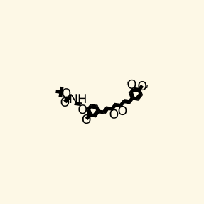 COc1ccc(C=CC(=O)CC(=O)C=Cc2ccc(OCCNC(=O)OC(C)(C)C)c(OC)c2)cc1OC